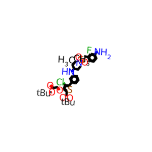 CC(C)(C)OC(=O)COc1c(C(=O)OC(C)(C)C)sc(-c2cccc(NC3CCN(S(=O)(=O)Cc4cccc(N)c4F)C(C)(C)C3)c2)c1Cl